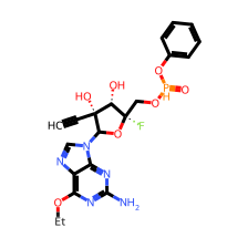 C#C[C@]1(O)C(n2cnc3c(OCC)nc(N)nc32)O[C@](F)(CO[PH](=O)Oc2ccccc2)[C@H]1O